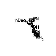 CCCCCCCCCCCCCCOC[C@H](COP(=O)(O)OC[C@@H]1CC[C@](C#N)(c2ccc3c(N)ncnn23)O1)OCc1ccc(C#N)cc1F